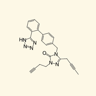 C#CCCn1nc(CC#CC)n(Cc2ccc(-c3ccccc3-c3nnn[nH]3)cc2)c1=O